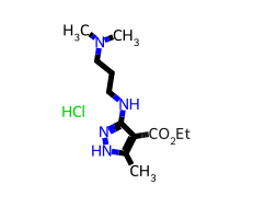 CCOC(=O)c1c(NCCCN(C)C)n[nH]c1C.Cl